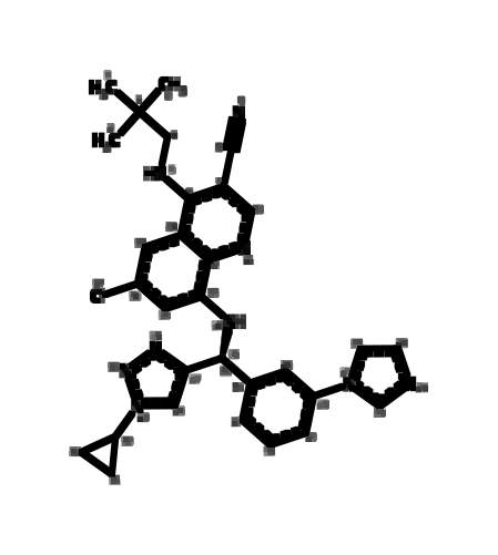 CC(C)(C)CNc1c(C#N)cnc2c(N[C@@H](c3cccc(-n4ccnc4)c3)c3cn(C4CC4)nn3)cc(Cl)cc12